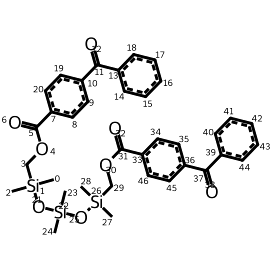 C[Si](C)(COC(=O)c1ccc(C(=O)c2ccccc2)cc1)O[Si](C)(C)O[Si](C)(C)COC(=O)c1ccc(C(=O)c2ccccc2)cc1